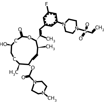 C=CS(=O)(=O)N1CCN(c2cc(F)cc(/C=C(\C)[C@H]3OC(=O)C[C@H](O)CC[C@H](C)[C@@H](OC(=O)N4CCN(C)CC4)/C=C/[C@@H]3C)c2)CC1